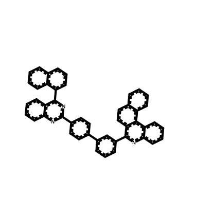 c1cc(-c2ccc(-c3nc(-c4cccc5ccccc45)c4ccccc4n3)cc2)cc(-c2nc3ccccc3c3c2ccc2ccccc23)c1